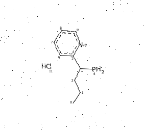 CCCC(P)c1ccccn1.Cl